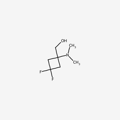 CN(C)C1(CO)CC(F)(F)C1